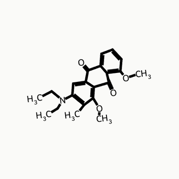 CCN(CC)c1cc2c(c(OC)c1C)C(=O)c1c(OC)cccc1C2=O